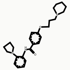 O=C(Nc1ccccc1N1CCCC1)c1ccc(OCCCN2CCCCC2)cc1